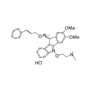 COc1cc2c(cc1OC)-c1c(c3ccccc3n1OCCN(C)C)/C2=N\OCC=Cc1ccccc1.Cl